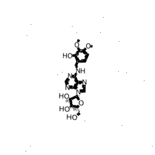 COc1ccc(CNc2ncnc3c2ncn3[C@@H]2O[C@H](CO)[C@@H](O)[C@H]2O)c(O)c1OC